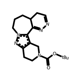 CC(C)(C)OC(=O)N1CCc2nn3c(c2C1)C1=NN=CCC1CCC3